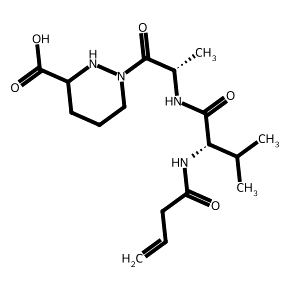 C=CCC(=O)N[C@H](C(=O)N[C@@H](C)C(=O)N1CCCC(C(=O)O)N1)C(C)C